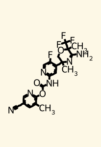 Cc1cc(C#N)cnc1OC(=O)Nc1cc(C2(C)COC(C)(C(F)(F)F)C(N)=N2)c(F)cn1